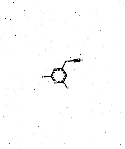 N#CCc1cc(F)nc(F)c1